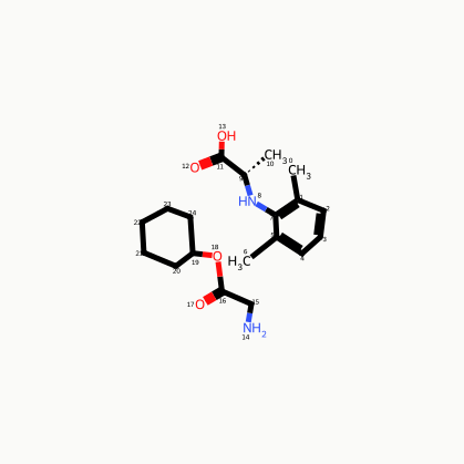 Cc1cccc(C)c1N[C@@H](C)C(=O)O.NCC(=O)OC1CCCCC1